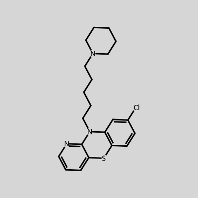 Clc1ccc2c(c1)N(CCCCCN1CCCCC1)c1ncccc1S2